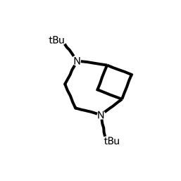 CC(C)(C)N1CCN(C(C)(C)C)C2CC1C2